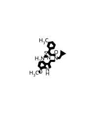 COc1cccc2c(CCN(CC3CC3)C(=O)c3nc(N)sc3-c3cccc(C)c3)c[nH]c12